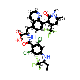 CCC(Nc1cc(Cl)c(C(=O)NC(Cc2ccc(-c3c(C(F)(F)F)cc(C)n(C)c3=O)c3ncccc23)C(=O)O)c(Cl)c1)C(F)(F)F